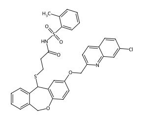 Cc1ccccc1S(=O)(=O)NC(=O)CCSC1c2ccccc2COc2ccc(OCc3ccc4ccc(Cl)cc4n3)cc21